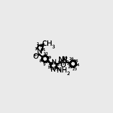 C[C@@H]1CCN(C(=O)c2ccc(-c3cnc(N)c(-c4nnc(-c5ccccc5)o4)n3)cc2)C1